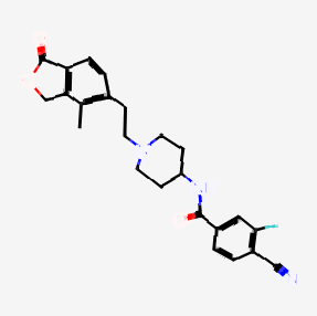 Cc1c(CCN2CCC(NC(=O)c3ccc(C#N)c(F)c3)CC2)ccc2c1COC2=O